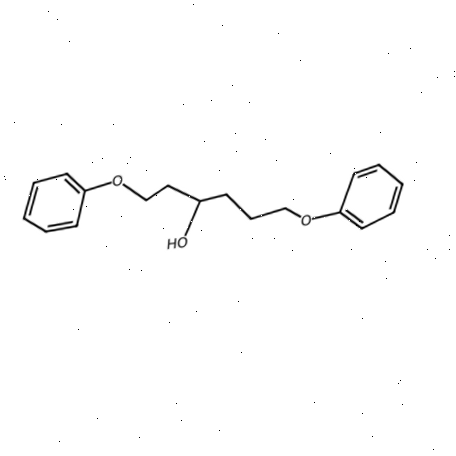 OC(CCCOc1ccccc1)CCOc1ccccc1